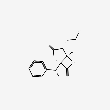 O=C1N[C@@]2([C@@H](O)C3=C=C=CC=C3)C(=O)O[C@H]2[C@H]1CCCl